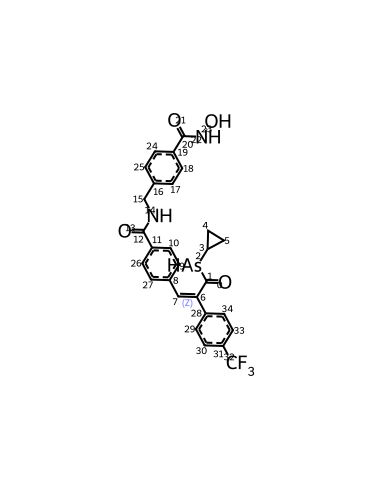 O=C([AsH]C1CC1)/C(=C\c1ccc(C(=O)NCc2ccc(C(=O)NO)cc2)cc1)c1ccc(C(F)(F)F)cc1